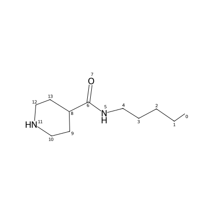 CCCCCNC(=O)C1CCNCC1